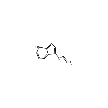 C=COc1ccc2[nH]cccc1-2